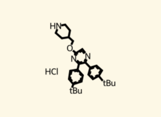 CC(C)(C)c1ccc(-c2ncc(OCC3CCNCC3)nc2-c2ccc(C(C)(C)C)cc2)cc1.Cl